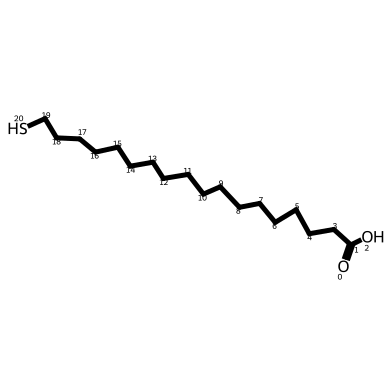 O=C(O)CCCCCCCCCCCCCCCCCS